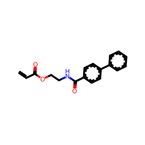 C=CC(=O)OCCNC(=O)c1ccc(-c2ccccc2)cc1